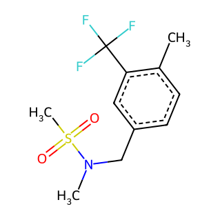 Cc1ccc(CN(C)S(C)(=O)=O)cc1C(F)(F)F